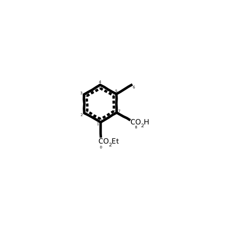 CCOC(=O)c1cccc(C)c1C(=O)O